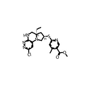 CC[C@@]12CNc3nnc(Cl)cc3N1C[C@H](Sc1cc(C)c(C(=O)OC)cn1)C2